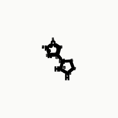 c1onnc1N1CCNN1